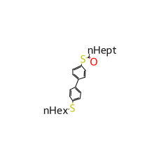 CCCCCCCC(=O)Sc1ccc(-c2ccc(SCCCCCC)cc2)cc1